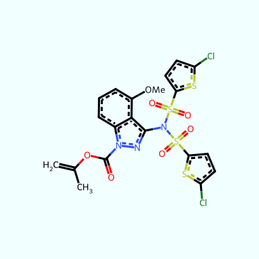 C=C(C)OC(=O)n1nc(N(S(=O)(=O)c2ccc(Cl)s2)S(=O)(=O)c2ccc(Cl)s2)c2c(OC)cccc21